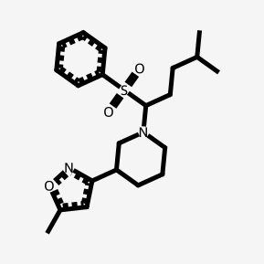 Cc1cc(C2CCCN(C(CCC(C)C)S(=O)(=O)c3ccccc3)C2)no1